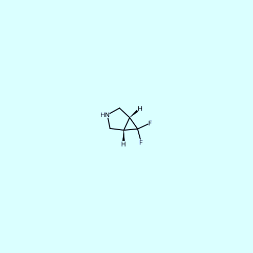 FC1(F)[C@@H]2CNC[C@@H]21